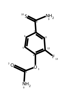 NC(=O)Oc1ccc(C(N)=S)cc1F